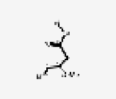 CCOC(=O)C[C@@H](CC#N)OC